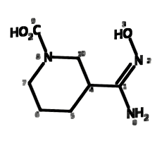 N/C(=N/O)C1CCCN(C(=O)O)C1